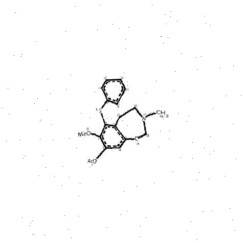 COc1c(OC(C)=O)cc2c(c1Sc1ccccc1)CCN(C)CC2